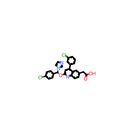 O=C(O)Cc1ccc2nc(OC(c3ccc(Cl)cc3)n3ccnc3)cc(-c3cccc(Cl)c3)c2c1